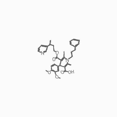 COc1ccc(C2C(C(=O)O)=C(C)N(CCCc3ccccc3)C(C)=C2C(=O)OCCC(C)c2cccnc2)cc1OC